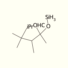 CC(C)C(C)(C)C(C)C(C)(C=O)O[SiH3]